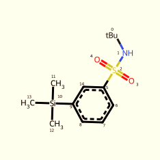 CC(C)(C)NS(=O)(=O)c1cccc([Si](C)(C)C)c1